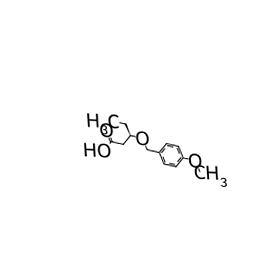 CC[C@H](CC(=O)O)OCc1ccc(OC)cc1